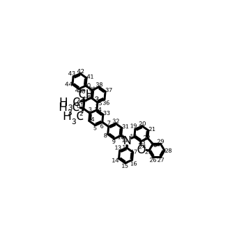 CC1(C)c2ccc(-c3ccc(N(c4ccccc4)c4cccc5c4oc4ccccc45)cc3)cc2-c2cccc(-c3ccccc3)c2C1(C)C